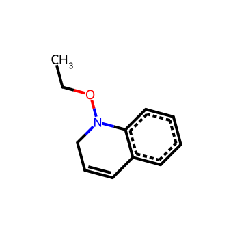 CCON1CC=Cc2ccccc21